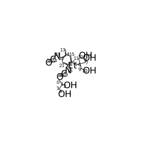 CC(O)CO.CCC(CO)(CO)CO.Cc1ccc(N=C=O)cc1N=C=O